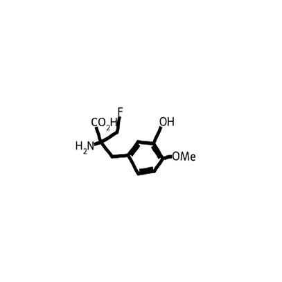 COc1ccc(CC(N)(CF)C(=O)O)cc1O